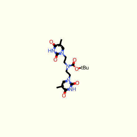 Cc1cn(CCN(CCn2cc(C)c(=O)[nH]c2=O)C(=O)OC(C)(C)C)c(=O)[nH]c1=O